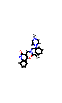 CC(C)CC(=O)N(Cc1cc2ccccc2[nH]c1=O)CC1(N2CCN(C)CC2)CCCCC1